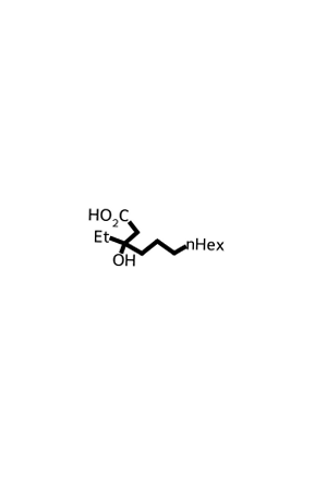 CCCCCCCCCC(O)(CC)CC(=O)O